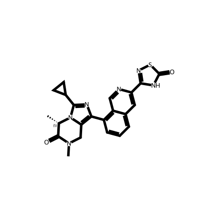 C[C@H]1C(=O)N(C)Cc2c(-c3cccc4cc(-c5nsc(=O)[nH]5)ncc34)nc(C3CC3)n21